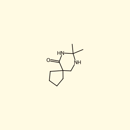 CC1(C)NCC2(CCCC2)C(=O)N1